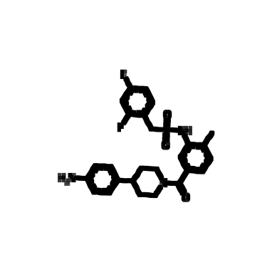 Cc1ccc(C(=O)N2CCC(c3ccc(N)cc3)CC2)cc1NS(=O)(=O)Cc1ccc(F)cc1F